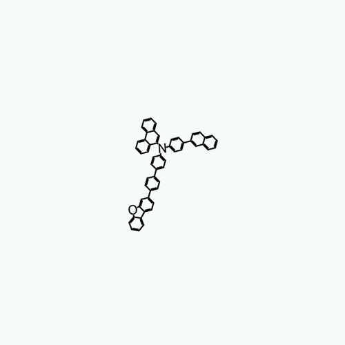 c1ccc2cc(-c3ccc(N(c4ccc(-c5ccc(-c6ccc7c(c6)oc6ccccc67)cc5)cc4)c4cc5ccccc5c5ccccc45)cc3)ccc2c1